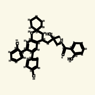 CC(O)(CNC(=O)c1ccccc1O)CC1CC2(CCCCC2)Oc2nc(-c3ccccc3Cl)c(-c3ccc(Cl)cc3)cc21